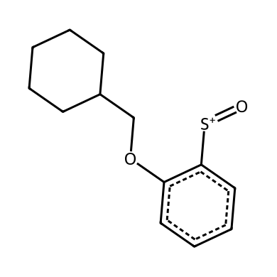 O=[S+]c1ccccc1OCC1CCCCC1